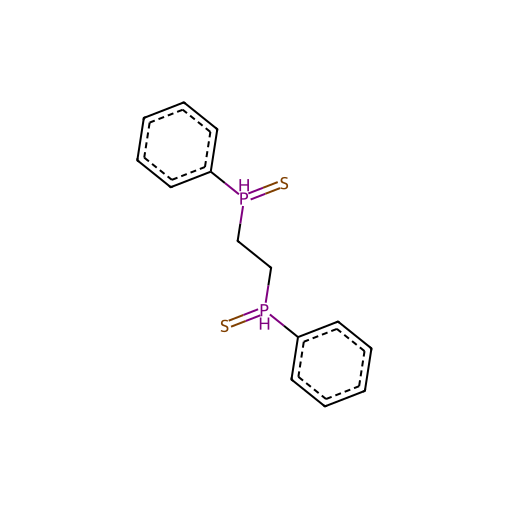 S=[PH](CC[PH](=S)c1ccccc1)c1ccccc1